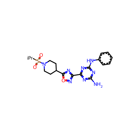 CC(C)S(=O)(=O)N1CCC(c2nc(-c3nc(N)nc(Nc4ccccc4)n3)no2)CC1